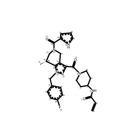 C=CC(=O)NC1CCN(C(=O)c2nn(Cc3ccc(F)cc3)c3c2CN(C(=O)c2ccc[nH]2)C[C@H]3C)CC1